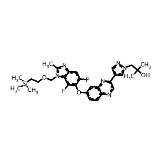 Cc1nc2cc(F)c(Oc3ccc4ncc(-c5cnn(CC(C)(C)O)c5)nc4c3)c(F)c2n1COCC[Si](C)(C)C